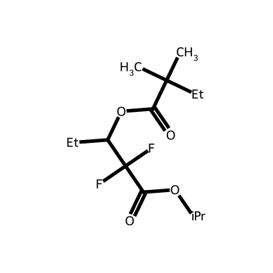 CCC(OC(=O)C(C)(C)CC)C(F)(F)C(=O)OC(C)C